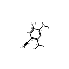 COc1cc(C(C)C)c(C#N)cc1O